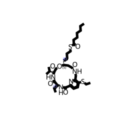 C/C=C1\NC(=O)c2ccc(SCC)c(n2)CNC(=O)C[C@@H](/C=C/CCSC(=O)CCCCCC)OC(=O)[C@H](C(C)C)NC1=O